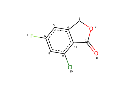 O=C1OCc2cc(F)cc(Cl)c21